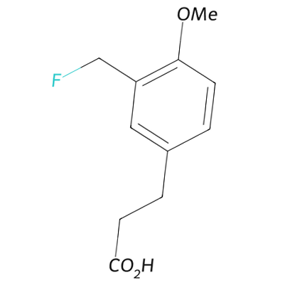 COc1ccc(CCC(=O)O)cc1CF